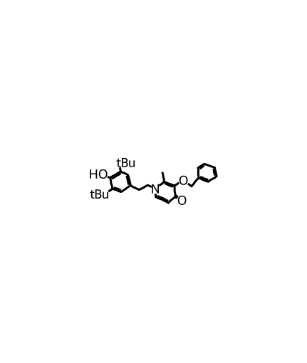 Cc1c(OCc2ccccc2)c(=O)ccn1CCc1cc(C(C)(C)C)c(O)c(C(C)(C)C)c1